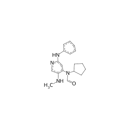 CNc1cnc(Nc2ccccc2)cc1N(C=O)C1CCCC1